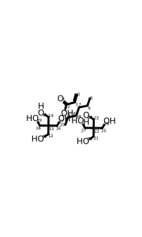 C=CC(=O)O.CCCCCC.OCC(CO)(CO)CO.OCC(CO)(CO)CO